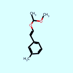 COC(C)OC=Cc1cccc(C)c1